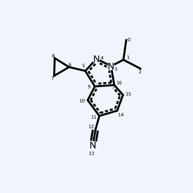 CC(C)n1nc(C2CC2)c2cc(C#N)ccc21